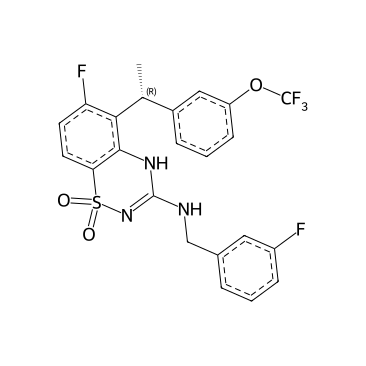 C[C@H](c1cccc(OC(F)(F)F)c1)c1c(F)ccc2c1NC(NCc1cccc(F)c1)=NS2(=O)=O